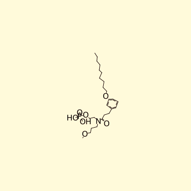 CCCCCCCCCCOc1cccc(CCC(=O)N(CCCOC)CCOP(=O)(O)O)c1